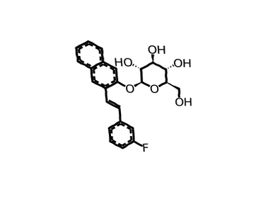 OC[C@H]1O[C@@H](Oc2cc3ccccc3cc2/C=C/c2cccc(F)c2)[C@H](O)[C@@H](O)[C@@H]1O